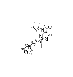 Cc1cn(C2CCCC2)c2nc(NCCCN3CCOCC3)ncc12